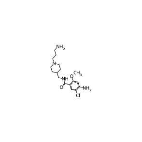 COc1cc(N)c(Cl)cc1C(=O)NCC1CCN(CCCN)CC1